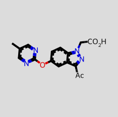 CC(=O)c1nn(CC(=O)O)c2ccc(Oc3ncc(C)cn3)cc12